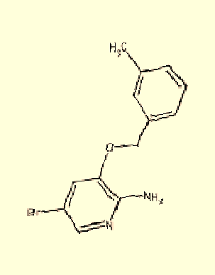 Cc1cccc(COc2cc(Br)cnc2N)c1